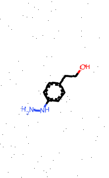 NNc1ccc([CH]CO)cc1